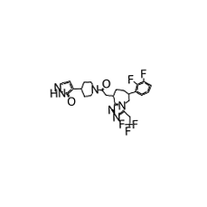 O=C(CC1CCC(c2cccc(F)c2F)Cn2c(CC(F)(F)F)nnc21)N1CCC(c2ccn[nH]c2=O)CC1